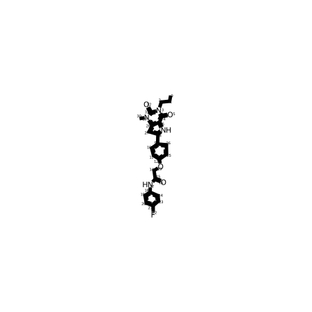 CCCn1c(=O)c2[nH]c(-c3ccc(OCC(=O)Nc4ccc(F)cc4)cc3)cc2n(C)c1=O